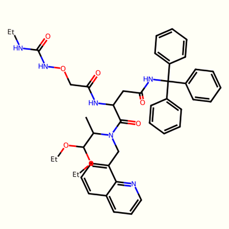 CCNC(=O)NOCC(=O)NC(CC(=O)NC(c1ccccc1)(c1ccccc1)c1ccccc1)C(=O)N(Cc1cccc2cccnc12)C(C)C(OCC)OCC